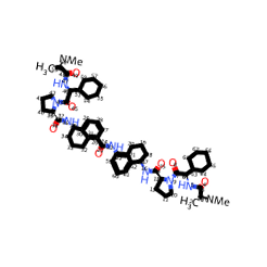 CN[C@@H](C)C(=O)N[C@H](C(=O)N1CCC[C@H]1C(=O)N[C@@H]1CCCc2c(NC(=O)c3cccc4c3CCC[C@H]4NC(=O)[C@@H]3CCCN3C(=O)[C@@H](NC(=O)[C@H](C)NC)C3CCCCC3)cccc21)C1CCCCC1